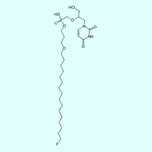 O=c1ccn(CC(CO)OCP(=O)(O)OCCCOCCCCCCCCCCCCCCCCF)c(=O)[nH]1